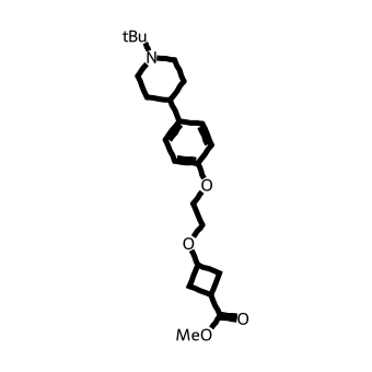 COC(=O)C1CC(OCCOc2ccc(C3CCN(C(C)(C)C)CC3)cc2)C1